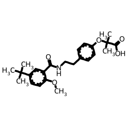 COc1ccc(C(C)(C)C)cc1C(=O)NCCc1ccc(OC(C)(C)C(=O)O)cc1